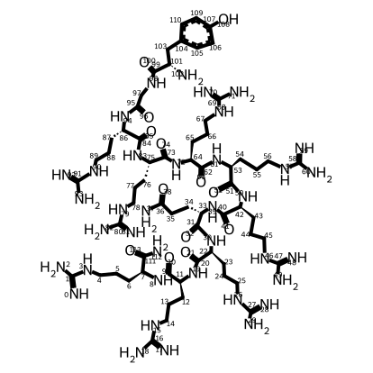 N=C(N)NCCC[C@H](NC(=O)[C@H](CCCNC(=N)N)NC(=O)[C@H](CCCNC(=N)N)NC(=O)[C@H](CCC(N)=O)NC(=O)[C@H](CCCNC(=N)N)NC(=O)[C@H](CCCNC(=N)N)NC(=O)[C@H](CCCNC(=N)N)NC(=O)[C@H](CCCNC(=N)N)NC(=O)[C@H](CCCNC(=N)N)NC(=O)CNC(=O)[C@@H](N)Cc1ccc(O)cc1)C(N)=O